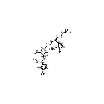 C=CCC/C=C(/CCCCCC1CCCCC(c2scc(C#N)c2CC)C[C@]1(F)CC)c1cc[nH]c1CCCC